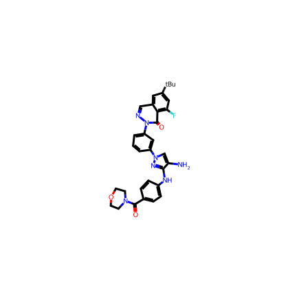 CC(C)(C)c1cc(F)c2c(=O)n(-c3cccc(-n4cc(N)c(Nc5ccc(C(=O)N6CCOCC6)cc5)n4)c3)ncc2c1